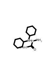 C1CCC(NC2CCCCC2)CC1.CCCCCC(=O)ON